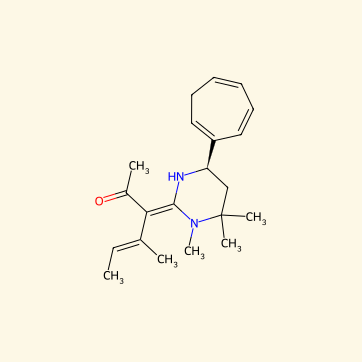 C/C=C(C)/C(C(C)=O)=C1/N[C@@H](C2=CCC=CC=C2)CC(C)(C)N1C